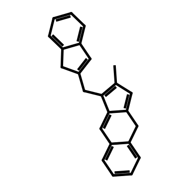 CC1=C(CC2=Cc3ccccc3C2)C2=Cc3ccccc3CC2=C1